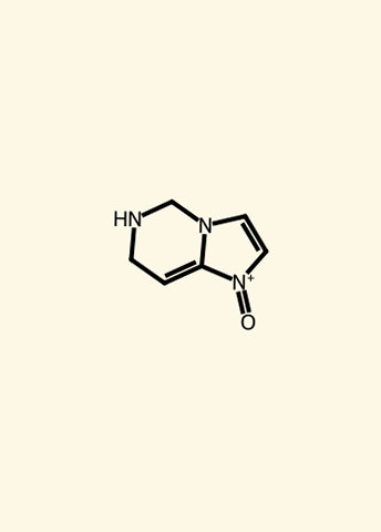 O=[N+]1C=CN2CNCC=C21